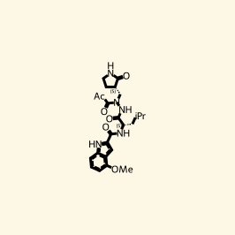 COc1cccc2[nH]c(C(=O)N[C@@H](CC(C)C)C(=O)NN(C[C@@H]3CCNC3=O)C(=O)C(C)=O)cc12